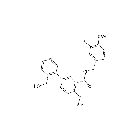 CCCSc1ccc(-c2cnccc2CO)cc1C(=O)NCc1ccc(OC)c(F)c1